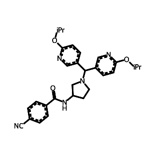 CC(C)Oc1ccc(C(c2ccc(OC(C)C)nc2)N2CCC(NC(=O)c3ccc(C#N)cc3)C2)cn1